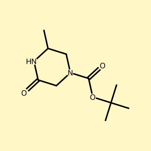 CC1CN(C(=O)OC(C)(C)C)CC(=O)N1